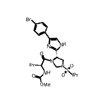 COC(=O)N[C@H](C(=O)N1CN(S(=O)(=O)C(C)C)C[C@H]1c1nc(-c2ccc(Br)cc2)c[nH]1)C(C)C